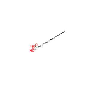 CCCCCCCCCCCCCCCCCCCCCCCCC(CC(=O)O)C(=O)O